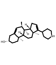 C[C@@H]1C=C2C[C@@H](O)CC[C@]2(C)[C@H]2CC[C@]3(C)C(C4CCNCC4)=CC[C@H]3[C@H]12